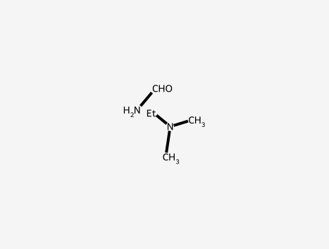 CCN(C)C.NC=O